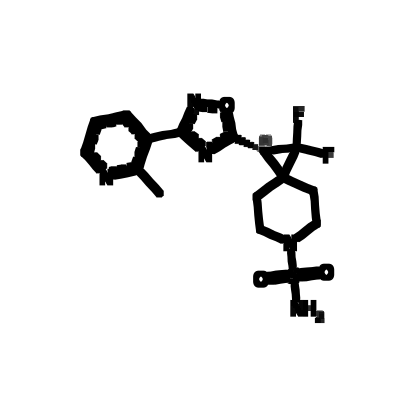 Cc1ncccc1-c1noc([C@@H]2C(F)(F)C23CCN(S(N)(=O)=O)CC3)n1